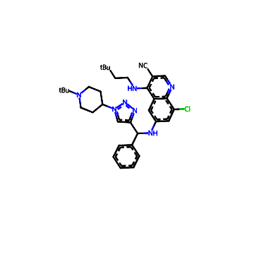 CC(C)(C)CCNc1c(C#N)cnc2c(Cl)cc(NC(c3ccccc3)c3cn(C4CCN(C(C)(C)C)CC4)nn3)cc12